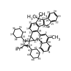 Cc1cc2[n+](c3ccccc13)C1C(c3ccc4c(c3-2)-c2sc3ccccc3c2C4(C)C)C12N(C1CCCCC1)C(C(C)C)=[N+]2C1CCCCC1